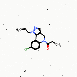 C=CCn1ncc2c1-c1cc(Cl)ccc1N(C(=O)CC)C2